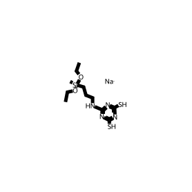 CCO[Si](C)(CCCNc1nc(S)nc(S)n1)OCC.[Na]